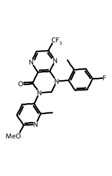 COc1ccc(N2CN(c3ccc(F)cc3C)c3nc(C(F)(F)F)cnc3C2=O)c(C)n1